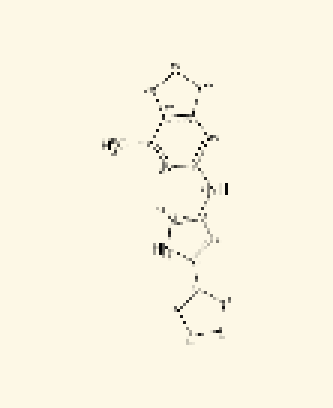 Cc1nc(Nc2cc(C3CCCC3)[nH]n2)cc2c1CCC2